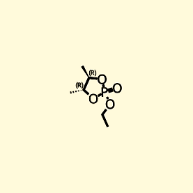 CCOP1(=O)O[C@H](C)[C@@H](C)O1